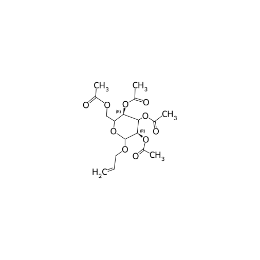 C=CCOC1OC(COC(C)=O)[C@@H](OC(C)=O)C(OC(C)=O)[C@H]1OC(C)=O